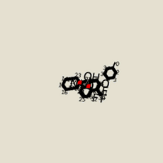 C[C@H]1CC[C@@H](Oc2ccc3c(CN4C5CCCC4CC(C(=O)O)C5)cccc3c2C(F)(F)F)CC1